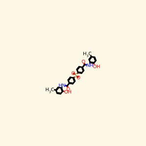 Cc1ccc(O)c(NC(=O)c2ccc(S(=O)(=O)c3ccc(C(=O)Nc4cc(C)ccc4O)cc3)cc2)c1